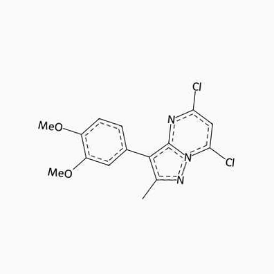 COc1ccc(-c2c(C)nn3c(Cl)cc(Cl)nc23)cc1OC